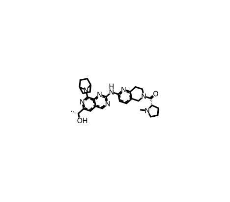 C[C@@H](O)c1cc2cnc(Nc3ccc4c(n3)CCN(C(=O)[C@@H]3CCCN3C)C4)nc2c(N2C3CCC2CC3)n1